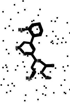 C=CCC(NC(=O)OC(C)(C)C)C1=NNCC(c2ccccc2N)=C1